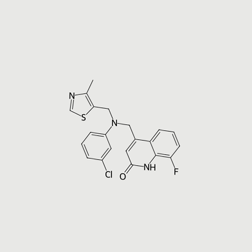 Cc1ncsc1CN(Cc1cc(=O)[nH]c2c(F)cccc12)c1cccc(Cl)c1